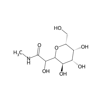 CNC(=O)C(O)C1O[C@H](CO)[C@H](O)[C@H](O)[C@H]1O